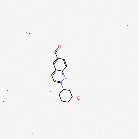 O=Cc1ccc2nc([C@H]3CCC[C@@H](O)C3)ccc2c1